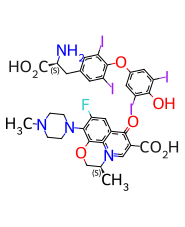 C[C@H]1COc2c(N3CCN(C)CC3)c(F)cc3c(=O)c(C(=O)O)cn1c23.N[C@@H](Cc1cc(I)c(Oc2cc(I)c(O)c(I)c2)c(I)c1)C(=O)O